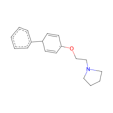 C1=CC(c2ccccc2)C=C[C]1OCCN1CCCC1